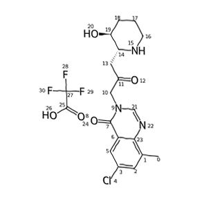 Cc1cc(Cl)cc2c(=O)n(CC(=O)C[C@H]3NCCC[C@@H]3O)cnc12.O=C(O)C(F)(F)F